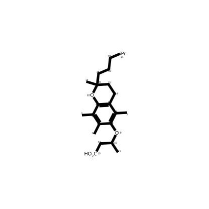 Cc1c(C)c2c(c(C)c1OC(C)CC(=O)O)CCC(C)(CCCC(C)C)O2